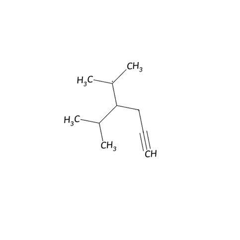 C#CCC([C](C)C)C(C)C